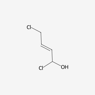 OC(Cl)C=CCCl